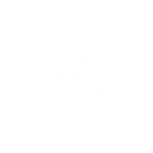 CN1CCN(C(=O)c2c[nH]cc2-c2cc(Br)cc3ccccc23)CC1